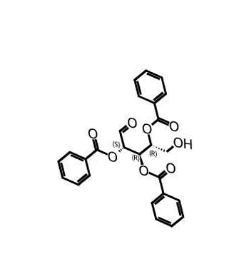 O=C[C@@H](OC(=O)c1ccccc1)[C@H](OC(=O)c1ccccc1)[C@@H](CO)OC(=O)c1ccccc1